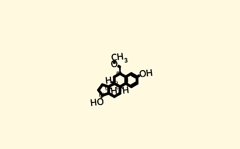 COC[C@@H]1C[C@@H]2[C@H](CCC3[C@H]2CC[C@@H]3O)c2ccc(O)cc21